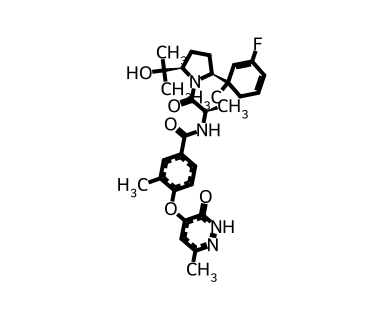 Cc1cc(Oc2ccc(C(=O)N[C@H](C)C(=O)N3[C@H](C4(C)C=C(F)C=CC4)CC[C@@H]3C(C)(C)O)cc2C)c(=O)[nH]n1